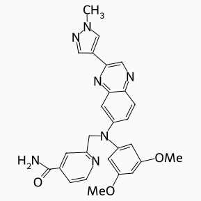 COc1cc(OC)cc(N(Cc2cc(C(N)=O)ccn2)c2ccc3ncc(-c4cnn(C)c4)nc3c2)c1